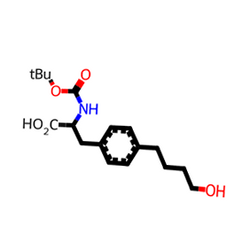 CC(C)(C)OC(=O)NC(Cc1ccc(CCCCO)cc1)C(=O)O